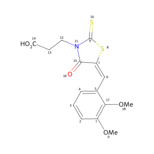 COc1cccc(/C=C2/SC(=S)N(CCC(=O)O)C2=O)c1OC